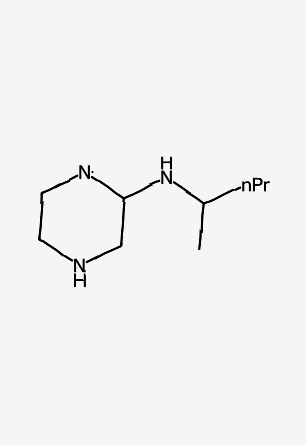 CCCC(C)NC1CNCC[N]1